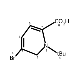 CC(C)(C)N1CC(Br)=CC=C1C(=O)O